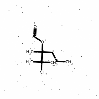 CCCC(C)(OC=O)C(C)(C)C